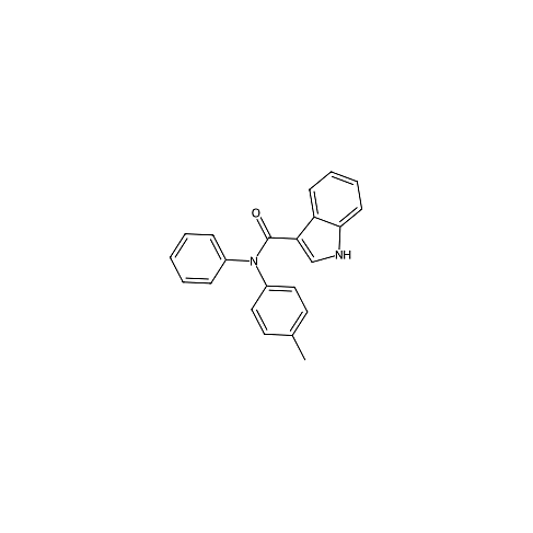 Cc1ccc(N(C(=O)c2c[nH]c3ccccc23)c2ccccc2)cc1